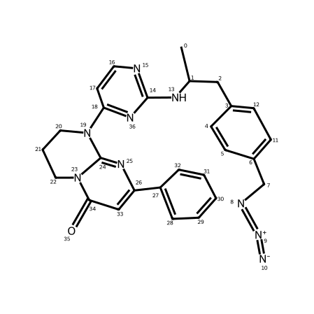 CC(Cc1ccc(CN=[N+]=[N-])cc1)Nc1nccc(N2CCCn3c2nc(-c2ccccc2)cc3=O)n1